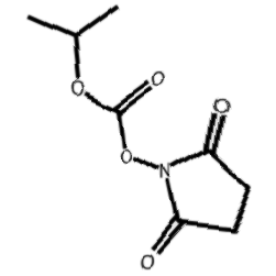 CC(C)OC(=O)ON1C(=O)CCC1=O